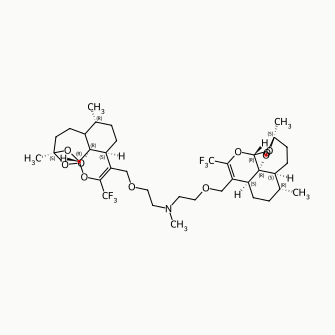 C[C@@H]1CC[C@H]2C(COCCN(C)CCOCC3=C(C(F)(F)F)O[C@@H]4O[C@]5(C)CC[C@H]6[C@H](C)CC[C@@H]3[C@@]46OO5)=C(C(F)(F)F)O[C@@H]3O[C@]4(C)CCC1[C@]32OO4